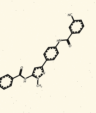 Cn1nc(-c2ccc(NC(=O)c3cccc(C#N)c3)cc2)cc1NC(=O)c1ccccc1